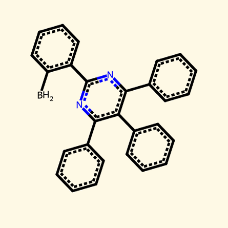 Bc1ccccc1-c1nc(-c2ccccc2)c(-c2ccccc2)c(-c2ccccc2)n1